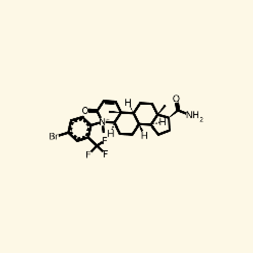 C[C@]12C=CC(=O)[N+](C)(c3ccc(Br)cc3C(F)(F)F)[C@@H]1CC[C@@H]1[C@@H]2CC[C@]2(C)[C@@H](C(N)=O)CC[C@@H]12